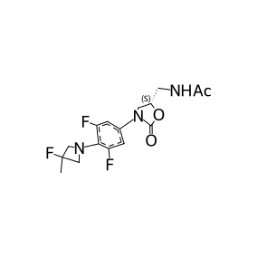 CC(=O)NC[C@H]1CN(c2cc(F)c(N3CC(C)(F)C3)c(F)c2)C(=O)O1